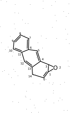 C1=C2OC2c2cc3ccccc3cc2C1